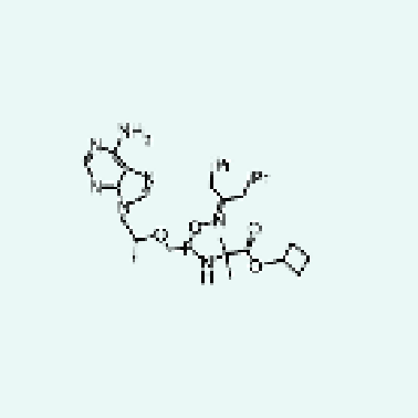 CC(C)CC(CC(C)C)=NOP(CO[C@H](C)Cn1cnc2c(N)ncnc21)NC(C)(C)C(=O)OC1CCC1